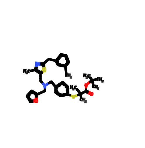 Cc1cccc(Cc2nc(C)c(CN(Cc3ccc(SC(C)(C)C(=O)OC(C)(C)C)cc3)Cc3ccco3)s2)c1